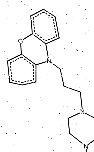 CN1CCN(CCCN2c3ccccc3Oc3ccccc32)CC1